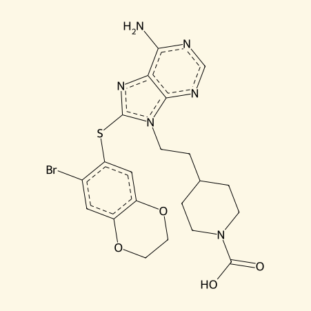 Nc1ncnc2c1nc(Sc1cc3c(cc1Br)OCCO3)n2CCC1CCN(C(=O)O)CC1